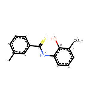 Cc1cccc(C(=S)Nc2cccc(C(=O)O)c2O)c1